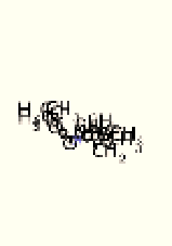 C=CCc1cc(/C=C/C(=O)c2ccc(OCOC(=O)C(C)(C)C)cc2)c(OC)c(CC=C)c1OCOC(=O)C(C)(C)C